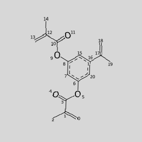 C=C(C)C(=O)Oc1cc(OC(=O)C(=C)C)cc(C(=C)C)c1